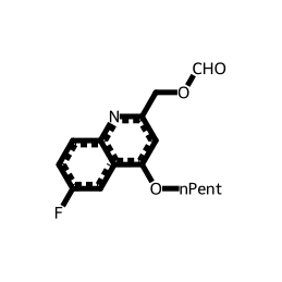 CCCCCOc1cc(COC=O)nc2ccc(F)cc12